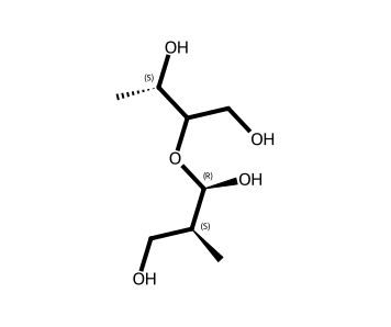 C[C@H](O)C(CO)O[C@@H](O)[C@@H](C)CO